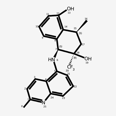 Cc1ccc2c(N[C@H]3c4cccc(O)c4[C@@H](C)C[C@]3(O)C(F)(F)F)cccc2n1